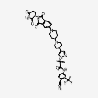 CC(C)(C(=O)Nc1ccc(C#N)c(C(F)(F)F)c1)n1cc(C2CCN(C3CCN(c4ccc5c(c4)C(=O)N(C4CCC(=O)NC4=O)C5=O)CC3)CC2)cn1